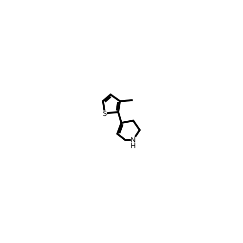 Cc1ccsc1C1=CCNCC1